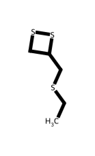 CCSCC1CSS1